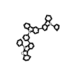 c1ccc(-n2c3ccccc3c3cc(-c4ccc5c(c4)c4ccccc4n5-c4cccc(-c5cccc6c7c8ccccc8oc7n(-c7ccccc7)c56)c4)ccc32)cc1